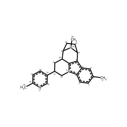 Cc1ccc2c(c1)c1c3n2CC(c2ccc(C)nc2)CC3C2CCC1N2C